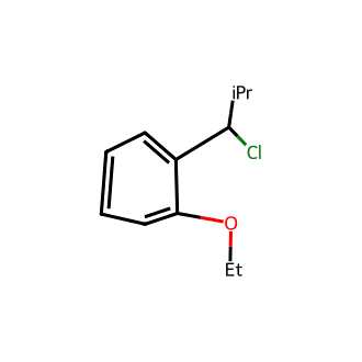 CCOc1ccccc1C(Cl)C(C)C